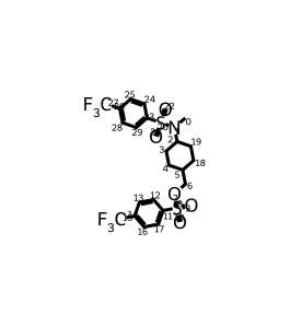 CN(C1CCC(COS(=O)(=O)c2ccc(C(F)(F)F)cc2)CC1)S(=O)(=O)c1ccc(C(F)(F)F)cc1